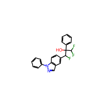 OC(c1ccccc1)(C(F)F)C(F)c1ccc2c(cnn2-c2ccccc2)c1